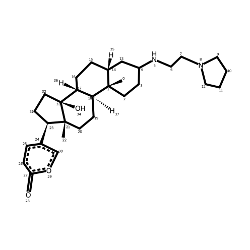 C[C@]12CCC(NCCN3CCCC3)C[C@H]1CC[C@@H]1[C@@H]2CC[C@]2(C)[C@@H](c3ccc(=O)oc3)CC[C@]12O